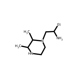 CCC(N)CN1CCNC(C)C1C